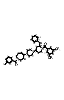 Cc1cccc(C(=O)N2CCCC(N3CCN(C4CCN(C(=O)c5cc(C(F)(F)F)cc(C(F)(F)F)c5)C(Cc5ccccc5)C4)CC3)CC2)c1